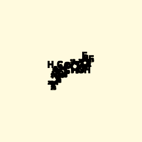 Cc1c(O[C@H]2CC[C@](O)(c3ccc(F)c(F)c3)CC2)ccn2c(CC3CC3)nnc12